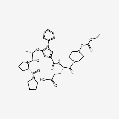 CCOC(=O)ON1CCN(C(=O)[C@H](CCC(=O)O)NC(=O)c2cc(O[C@@H](C)C(=O)N3CCC[C@H]3C(=O)N3CCCC3)n(-c3ccccc3)n2)CC1